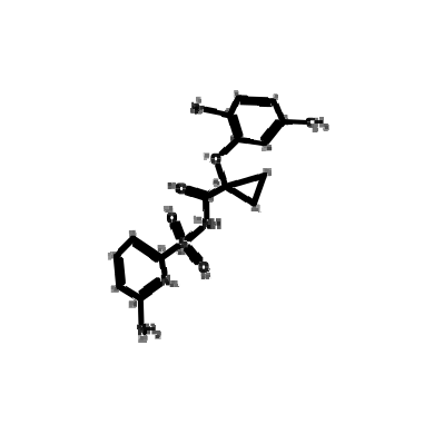 Cc1ccc(Br)c(OC2(C(=O)NS(=O)(=O)c3cccc(N)n3)CC2)c1